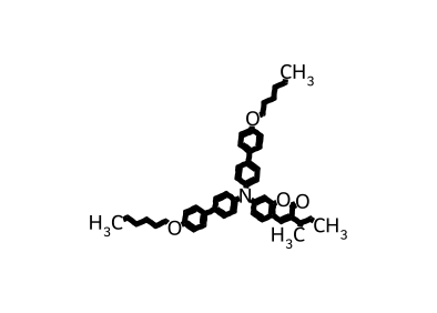 CCCCCCOc1ccc(-c2ccc(N(c3ccc(-c4ccc(OCCCCCC)cc4)cc3)c3ccc4cc(C(C)CC)c(=O)oc4c3)cc2)cc1